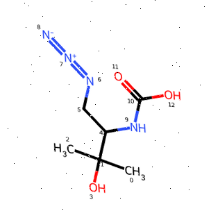 CC(C)(O)C(CN=[N+]=[N-])NC(=O)O